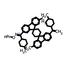 C=C(c1ccc2c(c1)C1(CCC3(CC1)c1cc(C)ccc1-c1ccc(/C(=N/OCCC)C4CCC(C)CC4)cc13)c1cc(C)ccc1-2)C1CCC(C)CC1